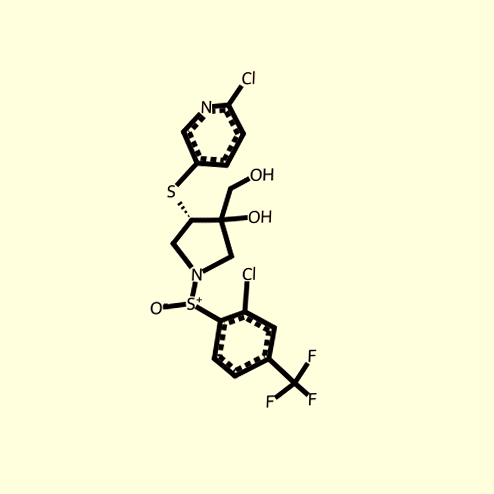 [O-][S+](c1ccc(C(F)(F)F)cc1Cl)N1C[C@H](Sc2ccc(Cl)nc2)C(O)(CO)C1